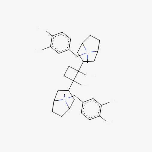 CC(=O)Oc1ccc(C[N+]2(C)C3CCC2CC(C2(C(=O)[O-])CCC2(C(=O)[O-])C2CC4CCC(C2)[N+]4(C)Cc2ccc(OC(C)=O)c(OC(C)=O)c2)C3)cc1OC(C)=O